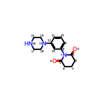 O=C1CCCC(=O)N1c1cccc(N2CCNCC2)c1